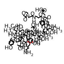 CC[C@H](C)[C@H](NC(=O)[C@H](CO)NC(=O)[C@H](Cc1ccc(O)cc1)NC(=O)[C@H](CC(=O)O)NC(=O)[C@H](CO)NC(=O)[C@@H](NC(=O)[C@H](Cc1ccccc1)NC(=O)[C@@H](NC(=O)CNC(=O)[C@H](CCC(=O)O)NC(=O)CCNC(=O)CN1CCOCC1=O)[C@@H](C)O)[C@@H](C)O)C(=O)N[C@@H](Cc1ccc(O)cc1)C(=O)N[C@@H](CC(C)C)C(=O)N[C@@H](CC(=O)O)C(=O)N[C@H](C)CCCCN